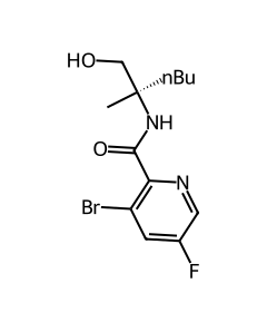 CCCC[C@](C)(CO)NC(=O)c1ncc(F)cc1Br